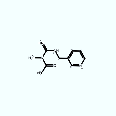 CCCC(=O)N(C)C(=N)NCc1cccnc1